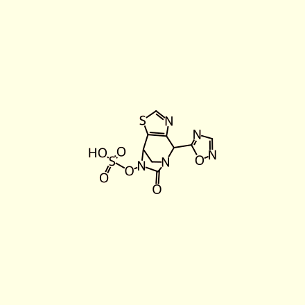 O=C1N2CC(c3scnc3C2c2ncno2)N1OS(=O)(=O)O